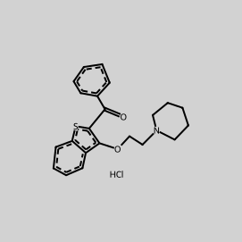 Cl.O=C(c1ccccc1)c1sc2ccccc2c1OCCN1CCCCC1